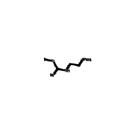 CCCCCCCNC(CC)OI